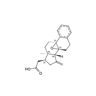 C=C1C[C@@H](CC(=O)O)[C@@]2(C)CC[C@@]34O[C@@]3(CCc3ccccc34)[C@H]12